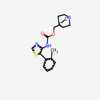 Cc1ccccc1-c1scnc1NC(=O)OCC12CCN(CC1)CC2